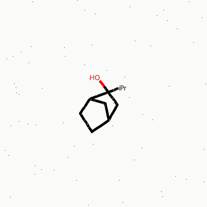 CC(C)C1(O)CC2CCC1C2